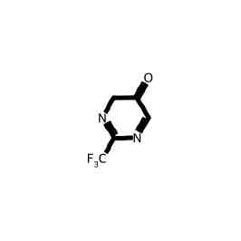 O=C1C=NC(C(F)(F)F)=NC1